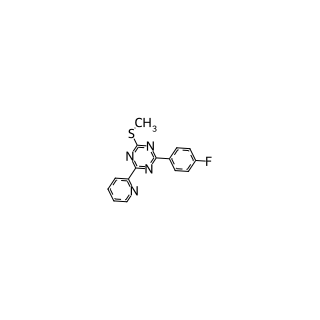 CSc1nc(-c2ccc(F)cc2)nc(-c2ccccn2)n1